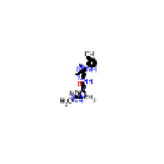 C#Cc1cccc(Nc2ncnc3cnc(NC(=O)/C=C/C[N+](C)(C)Cc4[nH]c(C)nc4[N+](=O)[O-])cc23)c1